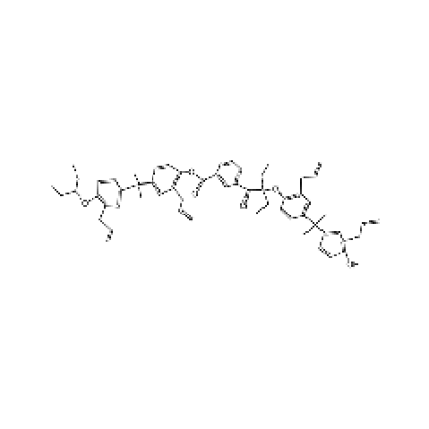 C=CCc1cc(C(C)(C)c2ccc(OC(CC)(CC)C(=O)c3cccc(C(=O)Oc4ccc(C(C)(C)c5ccc(OC(CC)CC)c(CC=C)c5)cc4CC=C)c3)c(CC=C)c2)ccc1O